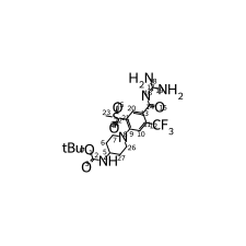 CC(C)(C)OC(=O)NC1CCN(c2cc(C(F)(F)F)c(C(=O)N=C(N)N)cc2S(C)(=O)=O)CC1